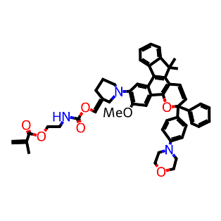 C=C(C)C(=O)OCCNC(=O)OC=C1CCCN(c2cc3c4c(c5c(c3cc2OC)OC(c2ccccc2)(c2ccc(N3CCOCC3)cc2)C=C5)C(C)(C)c2ccccc2-4)C1